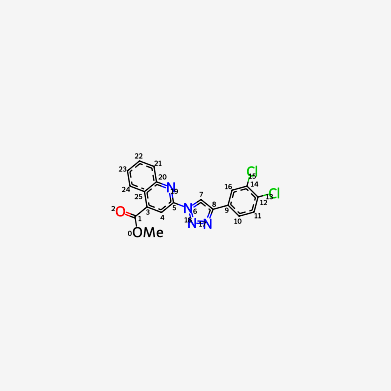 COC(=O)c1cc(-n2cc(-c3ccc(Cl)c(Cl)c3)nn2)nc2ccccc12